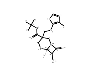 Cc1ncsc1SCC1(C(=O)OC(C)(C)C)CS[C@@H]2C(N)C(=O)N2C1